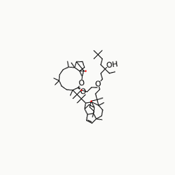 CCCCC(C)(CCOCCC(O)(CC)CCC(C)(C)C)C1(C)CCC2(C)C=CC3C4CC(C32)C1C4C(C)(C)C(C)(CCCC)C1(C)CCC(C)(C)CCC(C)C2(C)C3CCC2(C)C(C3)OC1=O